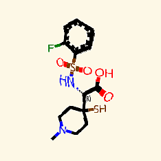 CN1CCC(S)([C@H](NS(=O)(=O)c2ccccc2F)C(=O)O)CC1